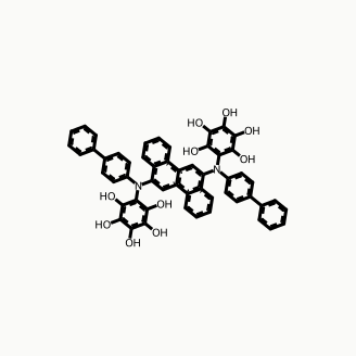 Oc1c(O)c(O)c(N(c2ccc(-c3ccccc3)cc2)c2cc3c4ccccc4c(N(c4ccc(-c5ccccc5)cc4)c4c(O)c(O)c(O)c(O)c4O)cc3c3ccccc23)c(O)c1O